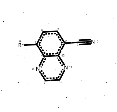 N#Cc1ccc(Br)c2nccnc12